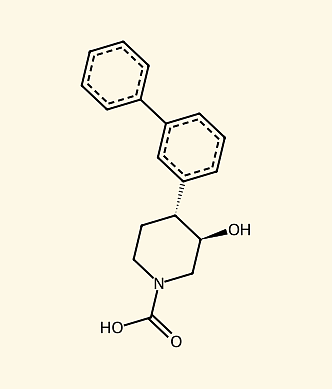 O=C(O)N1CC[C@H](c2cccc(-c3ccccc3)c2)[C@@H](O)C1